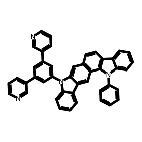 c1ccc(-n2c3ccccc3c3ccc4cc5c(cc4c32)c2ccccc2n5-c2cc(-c3cccnc3)cc(-c3cccnc3)c2)cc1